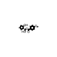 COc1ccc(C(=O)OC(O)[C@@H]2CCC[C@H]2O)cc1